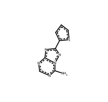 Nc1ncnc2nc(-c3cccs3)nn12